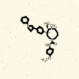 COc1ccc(NC(=O)N2CCCCN(C)[C@H](CO)[C@H](c3ccc(-c4ccn(-c5ccccc5)c4)cc3)CC2)cc1